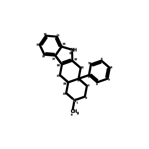 CN1CCC2(c3ccccc3)Cc3[nH]c4ccccc4c3CC2C1